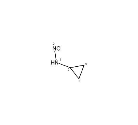 O=NNC1CC1